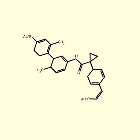 CO/C=C\C1=CCC(C2(C(=O)NC3=CC(C4=C(C)C=C(NC(C)=O)CC4)C(C)C=C3)CC2)C=C1